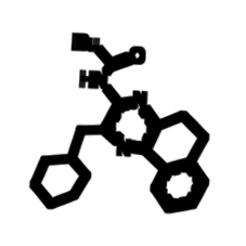 CCC(C)C(=O)Nc1nc2c(nc1CC1CCCCC1)-c1ccccc1CC2